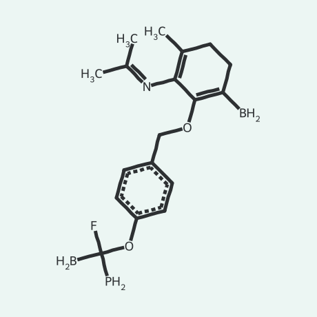 BC1=C(OCc2ccc(OC(B)(F)P)cc2)C(N=C(C)C)=C(C)CC1